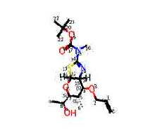 C=CCO[C@H]1[C@H](C)[C@@H](C(C)O)O[C@@H]2SC(N(C)C(=O)OC(C)(C)C)=N[C@H]12